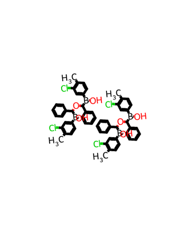 Cc1ccc(B(O)C(OC(B(O)c2ccc(C)c(Cl)c2)c2ccccc2)c2ccccc2)cc1Cl.Cc1ccc(B(O)C(OC(B(O)c2ccc(C)c(Cl)c2)c2ccccc2)c2ccccc2)cc1Cl